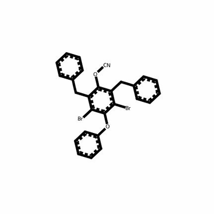 N#COc1c(Cc2ccccc2)c(Br)c(Oc2ccccc2)c(Br)c1Cc1ccccc1